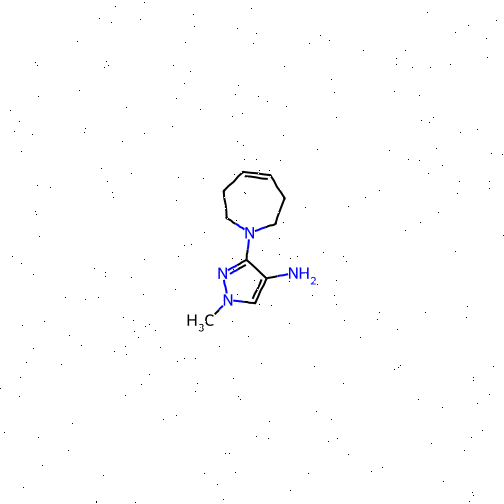 Cn1cc(N)c(N2CCC=CCC2)n1